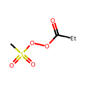 CCC(=O)OOS(C)(=O)=O